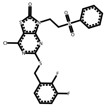 O=c1sc2c(Cl)nc(SCc3cccc(F)c3F)nc2n1CCS(=O)(=O)c1ccccc1